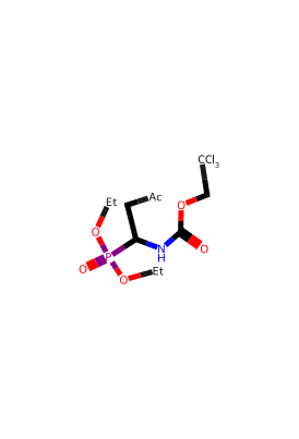 CCOP(=O)(OCC)C(CC(C)=O)NC(=O)OCC(Cl)(Cl)Cl